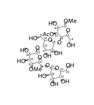 CO[C@H]1OC(CO)[C@@H](O[C@H]2OC(CO)[C@@H](O[C@H]3OC(CO[C@H]4OC(CO)[C@H](O)[C@@H](O)C4O)[C@@H](OC)[C@@H](O)C3O)[C@@H](O)C2O)[C@@H](OC(C)=O)C1O